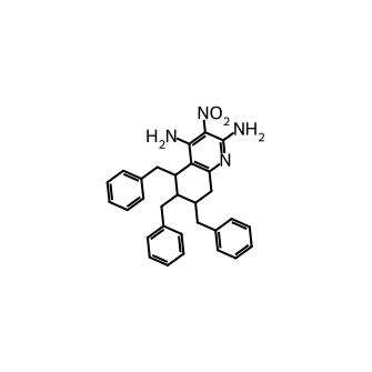 Nc1nc2c(c(N)c1[N+](=O)[O-])C(Cc1ccccc1)C(Cc1ccccc1)C(Cc1ccccc1)C2